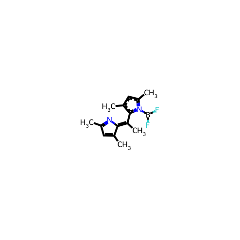 CC1=CC(C)=N/C1=C(/C)c1c(C)cc(C)n1B(F)F